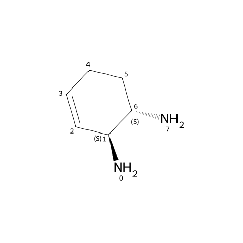 N[C@H]1C=CCC[C@@H]1N